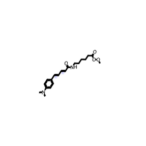 COOC(=O)CCCCCNC(=O)/C=C/C=C/c1ccc(N(C)C)cc1